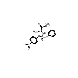 COC(=O)[C@H](C)NP(=O)(Oc1ccccc1)Oc1ccc([N+](=O)[O-])cc1